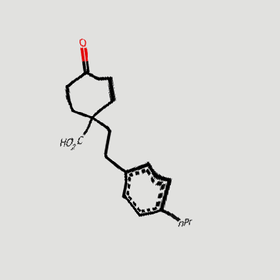 CCCc1ccc(CCC2(C(=O)O)CCC(=O)CC2)cc1